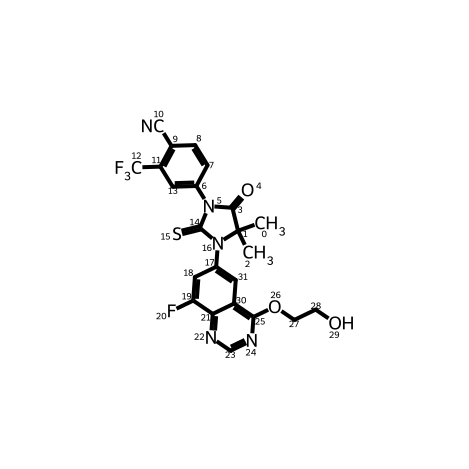 CC1(C)C(=O)N(c2ccc(C#N)c(C(F)(F)F)c2)C(=S)N1c1cc(F)c2ncnc(OCCO)c2c1